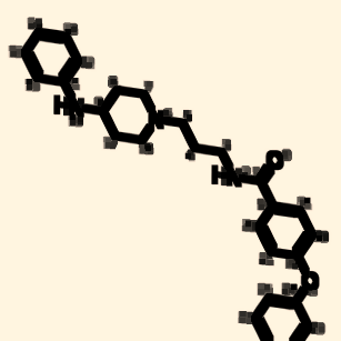 O=C(NCCCN1CCC(Nc2ccccc2)CC1)c1ccc(Oc2ccccc2)cc1